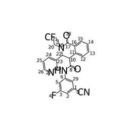 N#Cc1cc(F)cc(NC(=O)C2c3ccccc3C(=O)N(CC(F)(F)F)C2c2cccnc2)c1